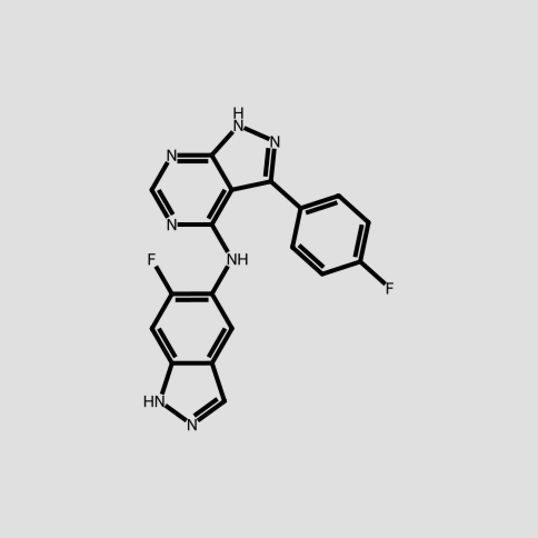 Fc1ccc(-c2n[nH]c3ncnc(Nc4cc5cn[nH]c5cc4F)c23)cc1